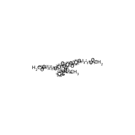 C=CC(=O)OCCCCCCOc1ccc(C(=O)Oc2ccc(OC(=O)c3ccc(OCCCCCCOC(=O)C=C)cc3)c(/C=N/N(CCCC)c3nc4ccccc4s3)c2)cc1